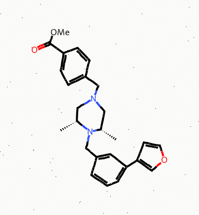 COC(=O)c1ccc(CN2C[C@@H](C)N(Cc3cccc(-c4ccoc4)c3)[C@@H](C)C2)cc1